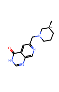 C[C@H]1CCCN(Cc2cc3c(=O)[nH]cnc3cn2)C1